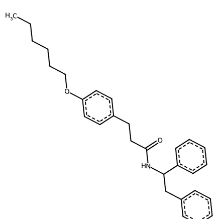 CCCCCCOc1ccc(CCC(=O)NC(Cc2ccccc2)c2ccccc2)cc1